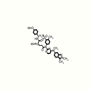 CN[C@@H](CCC(=O)N(c1ccc(C)c(S(N)(=O)=O)c1)c1nccc(N(C)c2ccc3c(C)n(C)nc3c2)n1)C(=O)NCc1ccc(OC)cc1